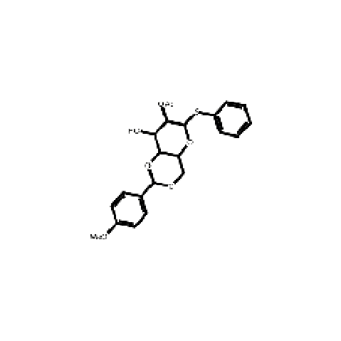 COc1ccc(C2OCC3OC(Sc4ccccc4)C(OC(C)=O)C(O)C3O2)cc1